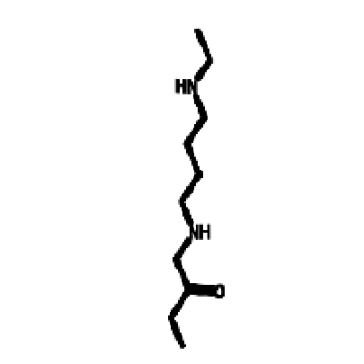 CCNCCCCNCC(=O)CC